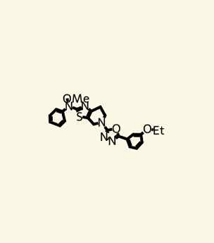 CCOc1cccc(-c2nnc(N3CCc4nc(N(OC)c5ccccc5)sc4C3)o2)c1